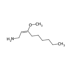 CCCCCC/C(=C\CN)OC